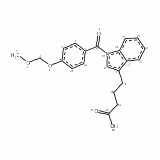 COCOc1ccc(C(=O)n2cc(CCCC(=O)O)c3ccccc32)cc1